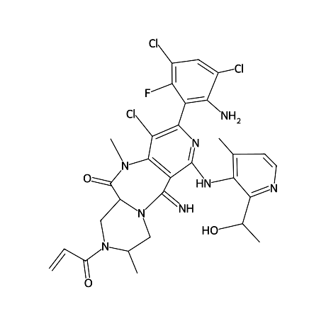 C=CC(=O)N1CC2C(=O)N(C)c3c(Cl)c(-c4c(N)c(Cl)cc(Cl)c4F)nc(Nc4c(C)ccnc4C(C)O)c3C(=N)N2CC1C